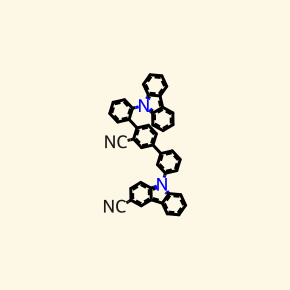 N#Cc1ccc2c(c1)c1ccccc1n2-c1cccc(-c2ccc(-c3ccccc3-n3c4ccccc4c4ccccc43)c(C#N)c2)c1